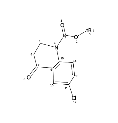 CC(C)(C)OC(=O)N1CCC(=O)c2cc(Cl)ccc21